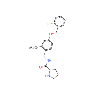 COc1cc(OCc2ccccc2F)ccc1CNC(=O)C1CCCN1